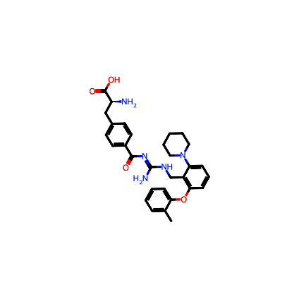 Cc1ccccc1Oc1cccc(N2CCCCC2)c1CN/C(N)=N/C(=O)c1ccc(C[C@H](N)C(=O)O)cc1